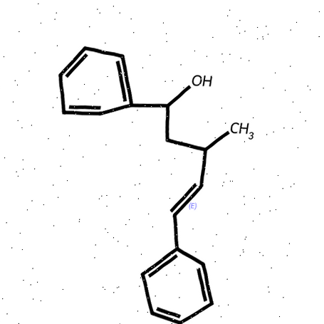 CC(/C=C/c1ccccc1)CC(O)c1ccccc1